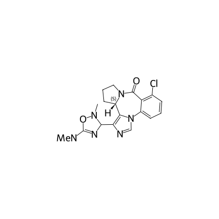 CNC1=NC(c2ncn3c2[C@@H]2CCCN2C(=O)c2c(Cl)cccc2-3)N(C)O1